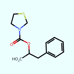 O=C(O)C(Cc1ccccc1)OC(=O)N1CCSC1